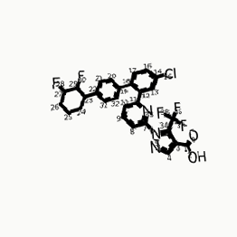 O=C(O)c1cnn(-c2cccc(-c3cc(Cl)ccc3-c3ccc(C4CCCC(F)C4F)cc3)n2)c1C(F)(F)F